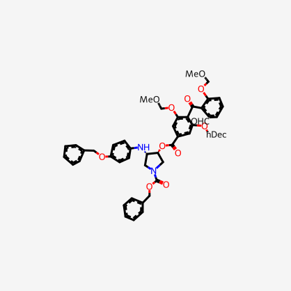 CCCCCCCCCCOc1cc(C(=O)O[C@H]2CN(C(=O)OCc3ccccc3)C[C@@H]2Nc2ccc(OCc3ccccc3)cc2)cc(OCOC)c1C(=O)c1c(C=O)cccc1OCOC